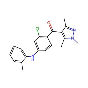 Cc1ccccc1Nc1ccc(C(=O)c2c(C)nn(C)c2C)c(Cl)c1